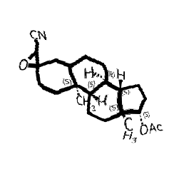 CC(=O)O[C@H]1CC[C@H]2[C@@H]3CCC4CC5(CC[C@]4(C)[C@H]3CC[C@]12C)OC5C#N